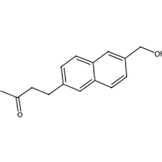 CC(=O)CCc1ccc2cc(CO)ccc2c1